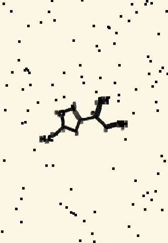 CC1CC(C(=N)C=N)=NO1